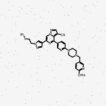 COc1ccc(CN2CCN(c3ccc(-c4nc(-c5cnn(CCSC(C)C)c5)cn5ncc(C#N)c45)cn3)CC2)cn1